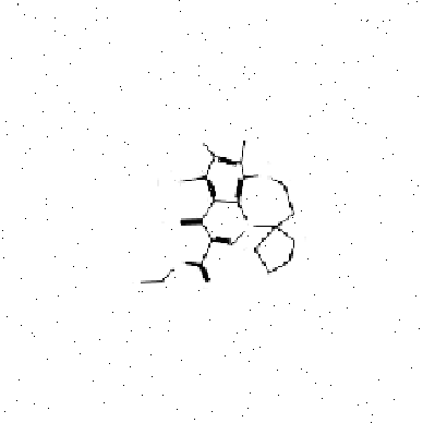 CCOC(=O)c1cn2c3c(c(F)c(F)c(N)c3c1=O)OCCC21CCCC1